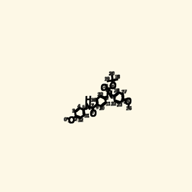 COc1ccc(NC(=O)c2ccc(N(C(=O)OC(C)(C)C)c3ccc(OC)cc3)cc2)cc1